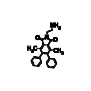 Cc1c2c(c(C)c(-c3ccccc3)c1-c1ccccc1)C(=O)N(CCN)C2=O